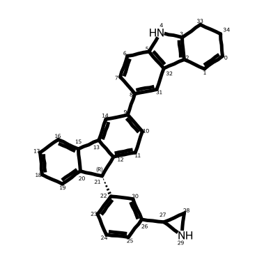 C1=Cc2c([nH]c3ccc(-c4ccc5c(c4)-c4ccccc4[C@H]5c4cccc(C5CN5)c4)cc23)CC1